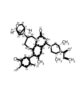 C=CC(=O)N1[C@H](C)CN(c2nc(=O)n3c4c(c(-c5cc(Cl)c(F)cc5F)c(C)cc24)SCC(N2C[C@@H]4C[C@H]2CO4)C3)C[C@@H]1C